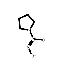 [O-][N+](=NO)N1CCCC1